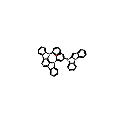 c1ccc(-n2c3ccccc3c3ccc4c5ccccc5n(-c5cccc(-n6c7ccccc7n7c8ccccc8cc67)c5)c4c32)cc1